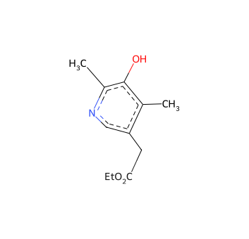 CCOC(=O)Cc1cnc(C)c(O)c1C